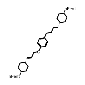 CCCCC[C@H]1CC[C@H](C=CCOc2ccc(CCCC[C@H]3CC[C@H](CCCCC)CC3)cc2)CC1